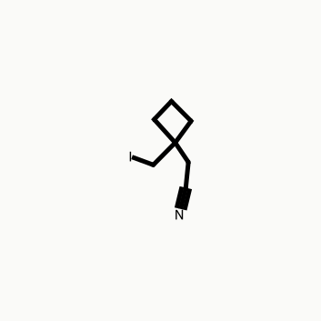 N#CCC1(CI)CCC1